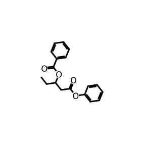 CCC(CC(=O)Oc1ccccc1)OC(=O)c1ccccc1